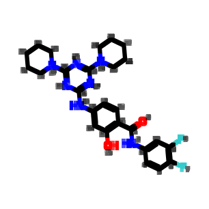 O=C(Nc1ccc(F)c(F)c1)c1ccc(Nc2nc(N3CCCCC3)nc(N3CCCCC3)n2)cc1O